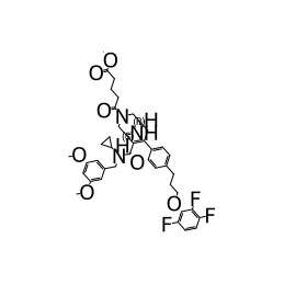 COC(=O)CCCC(=O)N1C[C@H]2CC(c3ccc(CCCOc4c(F)ccc(F)c4F)cc3)=C(C(=O)N(Cc3cc(OC)cc(OC)c3)C3CC3)[C@@H](C1)N2